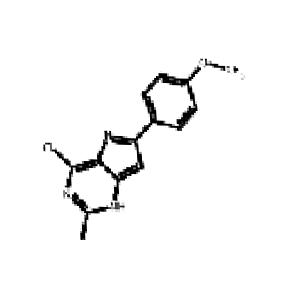 Cc1nc(Cl)c2nc(-c3ccc(OC(F)(F)F)cc3)cc-2[nH]1